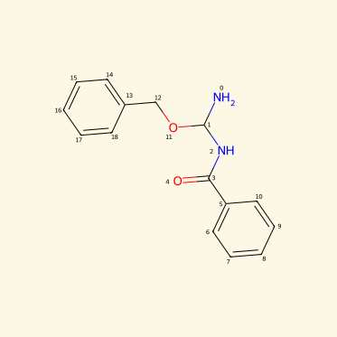 NC(NC(=O)c1ccccc1)OCc1ccccc1